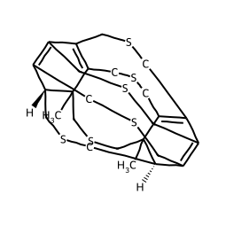 CC12CSCC3(C)C4=C5CSCC(=C1CSC4)C1=C4CSCC(=C5CSC1)[C@H]3CSC[C@H]42